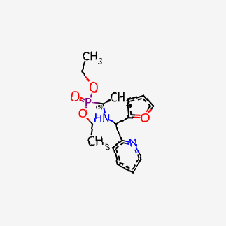 CCOP(=O)(OCC)[C@@H](C)NC(c1ccccn1)c1ccco1